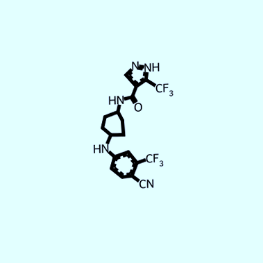 N#Cc1ccc(NC2CCC(NC(=O)c3cn[nH]c3C(F)(F)F)CC2)cc1C(F)(F)F